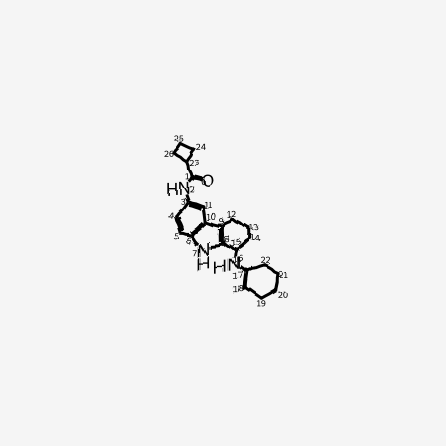 O=C(Nc1ccc2[nH]c3c(c2c1)CCCC3NC1CCCCC1)C1CCC1